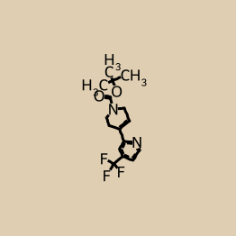 CC(C)(C)OC(=O)N1CC=C(c2cc(C(F)(F)F)ccn2)CC1